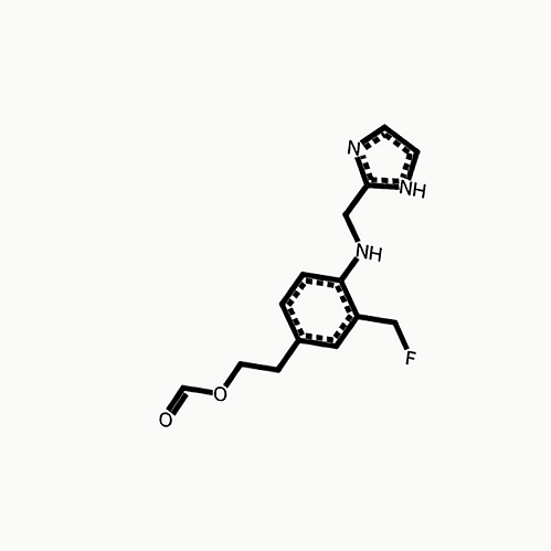 O=COCCc1ccc(NCc2ncc[nH]2)c(CF)c1